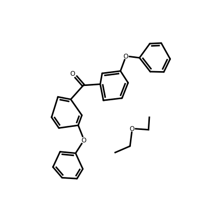 CCOCC.O=C(c1cccc(Oc2ccccc2)c1)c1cccc(Oc2ccccc2)c1